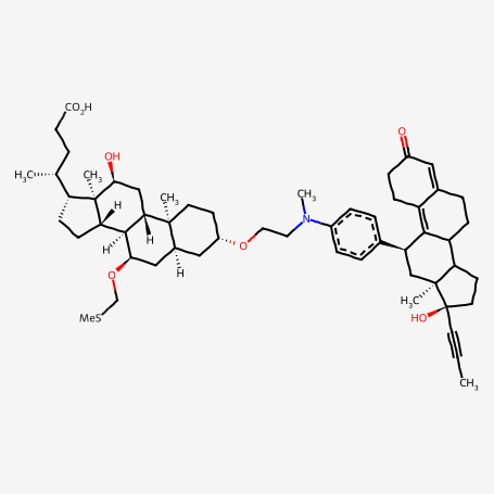 CC#C[C@@]1(O)CCC2C3CCC4=CC(=O)CCC4=C3[C@H](c3ccc(N(C)CCO[C@H]4CC[C@@]5(C)[C@@H](C4)C[C@@H](OCSC)[C@@H]4[C@@H]5C[C@H](O)[C@]5(C)[C@@H]([C@H](C)CCC(=O)O)CC[C@@H]45)cc3)C[C@@]21C